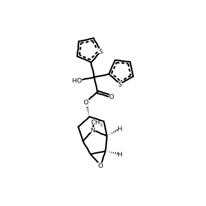 CN1C2C[C@H](OC(=O)C(O)(c3cccs3)c3cccs3)C[C@H]1[C@H]1OC21